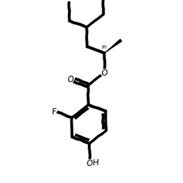 CCC(CC)C[C@@H](C)OC(=O)c1ccc(O)cc1F